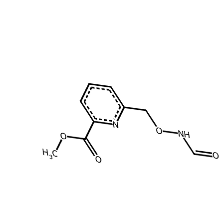 COC(=O)c1cccc(CONC=O)n1